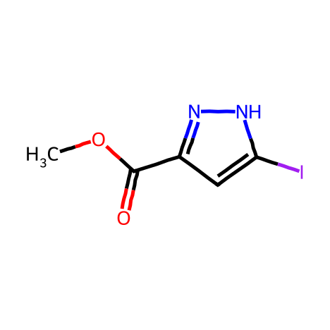 COC(=O)c1cc(I)[nH]n1